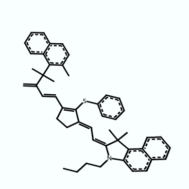 C=C(/C=C/C1=C(Sc2ccccc2)C(=C/C=C2/N(CCCC)c3ccc4ccccc4c3C2(C)C)/CC1)C(C)(C)c1c(C)ccc2ccccc12